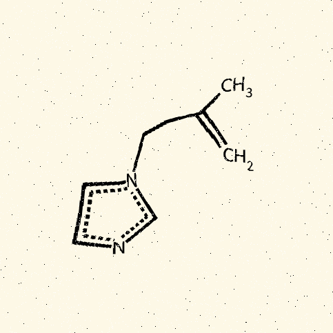 C=C(C)Cn1ccnc1